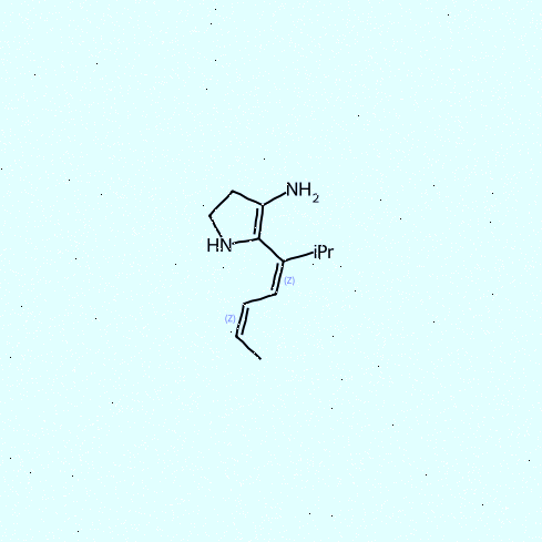 C/C=C\C=C(/C1=C(N)CCN1)C(C)C